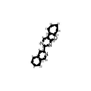 c1ccc2cc(-c3ncc4c(n3)oc3ccccc34)ncc2c1